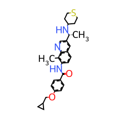 Cc1c(NC(=O)c2ccc(OCC3CC3)cc2)ccc2cc([C@@H](C)NC3CCSCC3)cnc12